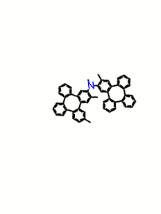 Cc1ccc2c(c1)-c1cc(C)c(N(C)c3cc4c(cc3C)-c3ccccc3-c3ccccc3-c3ccccc3-4)cc1-c1ccccc1-c1ccccc1-2